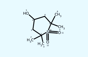 CC1(C)CC(O)CC(C)(C)S1(=O)=O